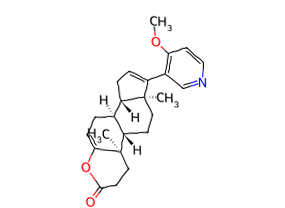 COc1ccncc1C1=CC[C@H]2[C@@H]3CC=C4OC(=O)CC[C@]4(C)[C@H]3CC[C@]12C